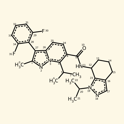 Cc1nn2c(C(C)C)c(C(=O)NC3CCCc4cnn(C(C)C)c43)ccc2c1-c1c(F)cccc1F